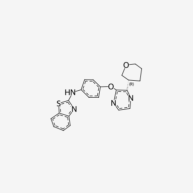 c1ccc2sc(Nc3ccc(Oc4nccnc4[C@H]4CCCOC4)cc3)nc2c1